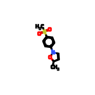 CC1C=CN(c2ccc(S(C)(=O)=O)cc2)O1